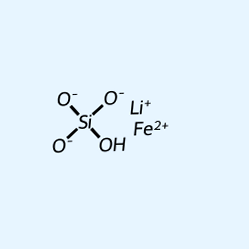 [Fe+2].[Li+].[O-][Si]([O-])([O-])O